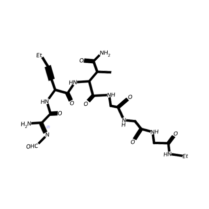 CCC#CC(NC(=O)/C(N)=N/C=O)C(=O)NC(C(=O)NCC(=O)NCC(=O)NCC(=O)NCC)C(C)C(N)=O